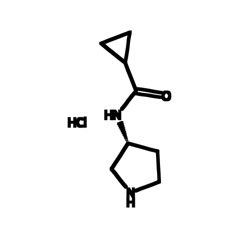 Cl.O=C(N[C@@H]1CCNC1)C1CC1